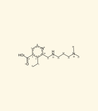 CCc1c(C(=O)O)ccnc1CNCCCN(C)C